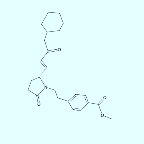 COC(=O)c1ccc(CCN2C(=O)CC[C@@H]2/C=C/C(=O)CC2CCCCC2)cc1